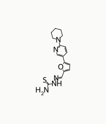 NC(=S)NN=Cc1ccc(-c2ccc(N3CCCCC3)nc2)o1